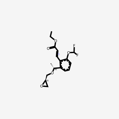 CCOC(=O)/C=C/c1c(OC(F)F)cccc1[C@@H](C)OC[C@H]1CO1